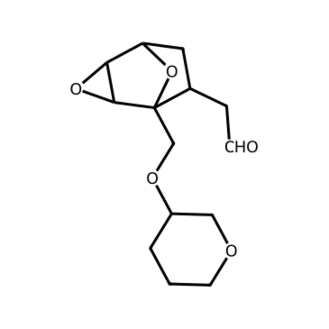 O=CCC1CC2OC1(COC1CCCOC1)C1OC21